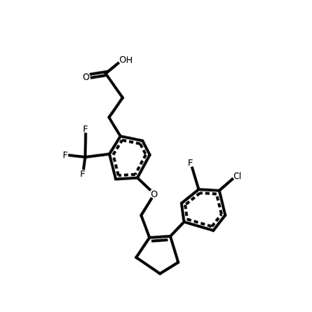 O=C(O)CCc1ccc(OCC2=C(c3ccc(Cl)c(F)c3)CCC2)cc1C(F)(F)F